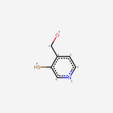 [O]Cc1ccncc1S